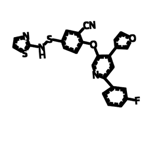 N#Cc1cc(SNc2nccs2)ccc1Oc1cnc(-c2cccc(F)c2)cc1-c1ccoc1